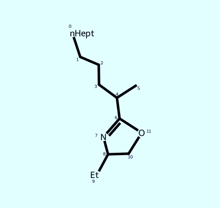 CCCCCCCCCCC(C)C1=NC(CC)CO1